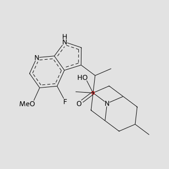 COc1cnc2[nH]cc(C(C)C(=O)N3C4CC(C)CC3CC(C)(O)C4)c2c1F